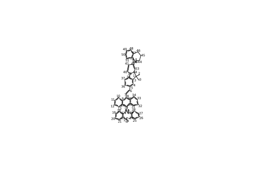 CC1(C)c2cc(/C=C/c3c4ccccc4c(N4c5ccccc5Sc5ccccc54)c4ccccc34)ccc2C2C=CC(N3CCCc4ccccc43)=CC21